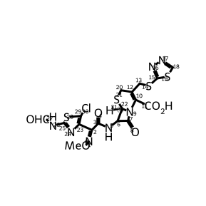 CON=C(C(=O)NC1C(=O)N2C(C(=O)O)=C(CSc3nncs3)CS[C@@H]12)c1nc(NC=O)sc1Cl